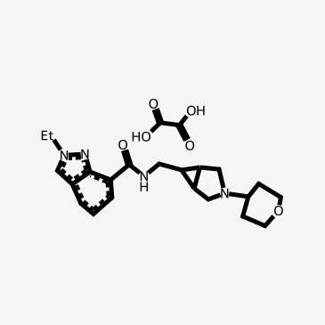 CCn1cc2cccc(C(=O)NCC3C4CN(C5CCOCC5)CC34)c2n1.O=C(O)C(=O)O